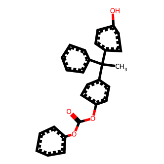 CC(c1ccccc1)(c1ccc(O)cc1)c1ccc(OC(=O)Oc2ccccc2)cc1